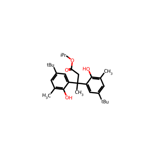 Cc1cc(C(C)(C)C)cc(C(C)(CC(=O)OC(C)C)c2cc(C(C)(C)C)cc(C)c2O)c1O